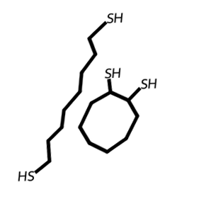 SC1CCCCCCC1S.SCCCCCCCCS